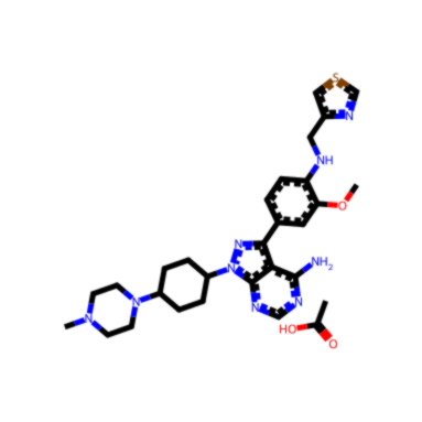 CC(=O)O.COc1cc(-c2nn(C3CCC(N4CCN(C)CC4)CC3)c3ncnc(N)c23)ccc1NCc1cscn1